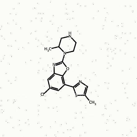 Cc1cnc(-c2cc(Cl)cc3nc(N4CCNCC4C)oc23)s1